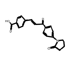 O=C(O)c1ccc(C=CC(=O)c2ccc(N3CCCC3=O)cc2)cc1